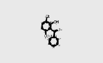 CCOC(=O)c1ccc(CC)c(O)c1C(=O)c1ccccc1